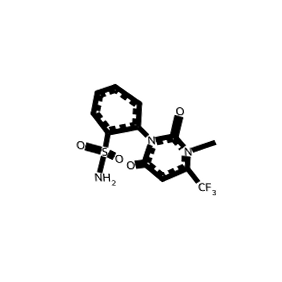 Cn1c(C(F)(F)F)cc(=O)n(-c2ccccc2S(N)(=O)=O)c1=O